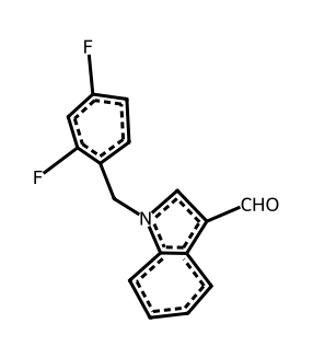 O=Cc1cn(Cc2ccc(F)cc2F)c2ccccc12